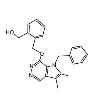 Cc1c(C)n(Cc2ccccc2)c2c(OCc3ccccc3CO)nncc12